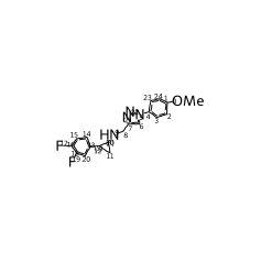 COc1ccc(-n2cc(CN[C@@H]3C[C@H]3c3ccc(F)c(F)c3)nn2)cc1